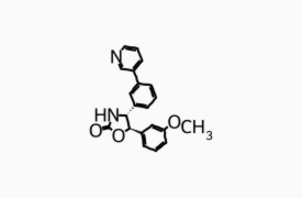 COc1cccc([C@H]2OC(=O)N[C@@H]2c2cccc(-c3cccnc3)c2)c1